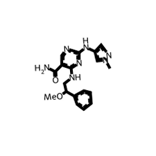 COC(CNc1nc(Nc2cnn(C)c2)ncc1C(N)=O)c1ccccc1